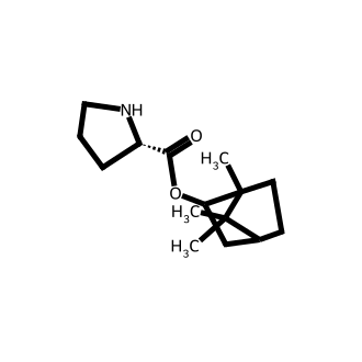 CC1(C)C2CCC1(C)C(OC(=O)[C@@H]1CCCN1)C2